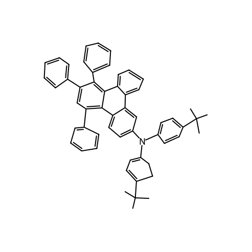 CC(C)(C)C1=CC=C(N(c2ccc(C(C)(C)C)cc2)c2ccc3c(c2)c2ccccc2c2c(-c4ccccc4)c(-c4ccccc4)cc(-c4ccccc4)c32)CC1